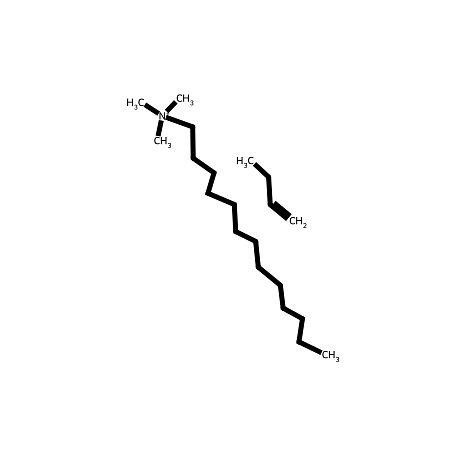 C=CCC.CCCCCCCCCCCCC[N+](C)(C)C